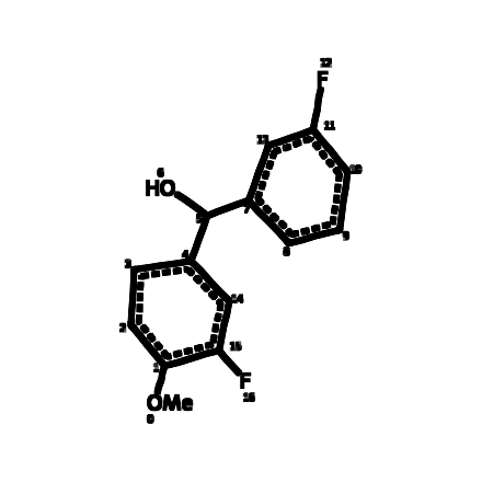 COc1ccc(C(O)c2cccc(F)c2)cc1F